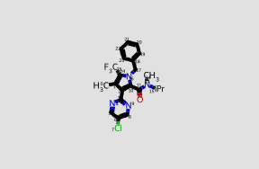 Cc1c(-c2ncc(Cl)cn2)c(C(=O)N(C)C(C)C)n(Cc2ccccc2)c1C(F)(F)F